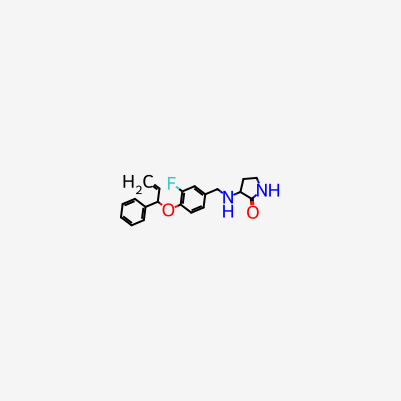 C=CC(Oc1ccc(CNC2CCNC2=O)cc1F)c1ccccc1